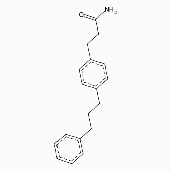 NC(=O)CCc1ccc(CCCc2ccccc2)cc1